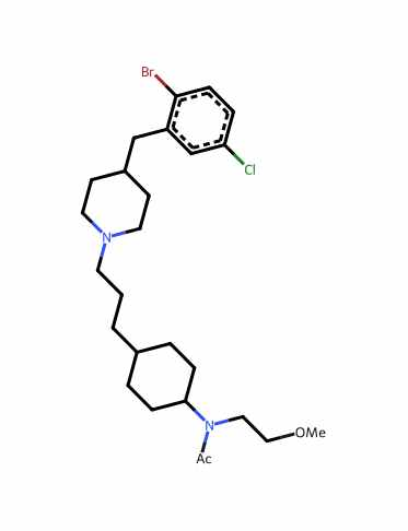 COCCN(C(C)=O)C1CCC(CCCN2CCC(Cc3cc(Cl)ccc3Br)CC2)CC1